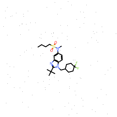 CCCCS(=O)(=O)N(C)c1ccc2c(c1)nc(C(C)(C)C)n2CC1CCC(F)(F)CC1